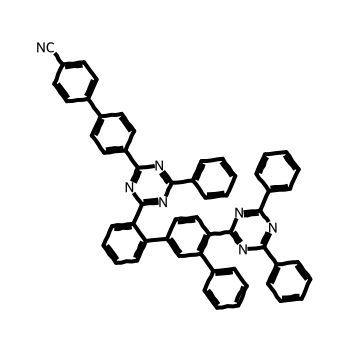 N#Cc1ccc(-c2ccc(-c3nc(-c4ccccc4)nc(-c4ccccc4-c4ccc(-c5nc(-c6ccccc6)nc(-c6ccccc6)n5)c(-c5ccccc5)c4)n3)cc2)cc1